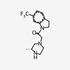 C[C@@H]1CN(CC(=O)N2CCc3ccc(C(F)(F)F)cc32)CCN1